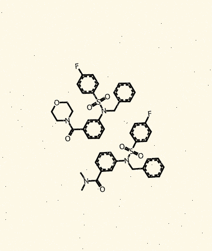 CN(C)C(=O)c1cccc(N(Cc2ccccc2)S(=O)(=O)c2ccc(F)cc2)c1.O=C(c1cccc(N(Cc2ccccc2)S(=O)(=O)c2ccc(F)cc2)c1)N1CCOCC1